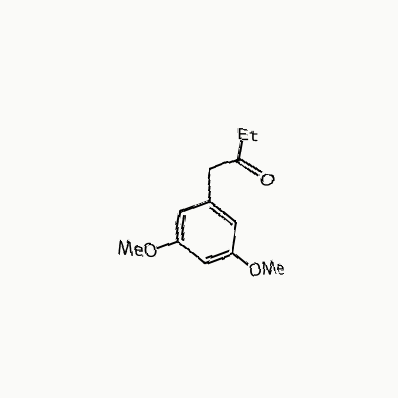 CCC(=O)Cc1cc(OC)cc(OC)c1